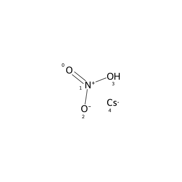 O=[N+]([O-])O.[Cs]